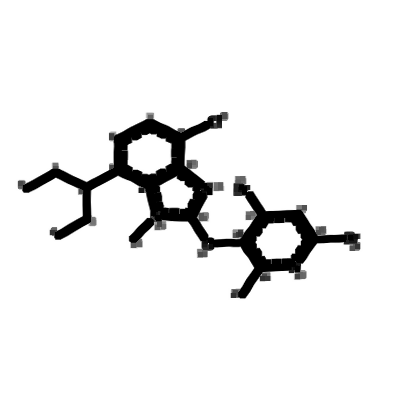 CCC(CC)c1ccc(Cl)c2nc(Oc3c(Br)cc(Br)nc3C)n(C)c12